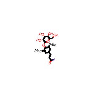 COc1cc(/C=C/C(=O)I)cc(OC)c1O[C@@H]1O[C@H](CO)[C@H](O)[C@H](O)[C@H]1O